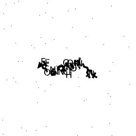 Cc1cc(S(=O)(=O)NC(=O)c2ccc(-n3ccc(OCCC4(C(F)(F)F)CC4)n3)nc2Cl)nn1CCCC1CN(C(C)(C)C)C(C)(C)C1